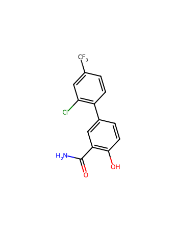 NC(=O)c1cc(-c2ccc(C(F)(F)F)cc2Cl)ccc1O